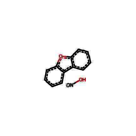 O=NO.c1ccc2c(c1)oc1ccccc12